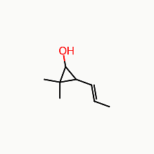 C/C=C/C1C(O)C1(C)C